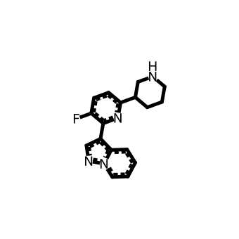 Fc1ccc(C2CCCNC2)nc1-c1cnn2ccccc12